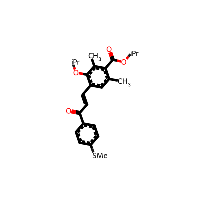 CSc1ccc(C(=O)C=Cc2cc(C)c(C(=O)OC(C)C)c(C)c2OC(C)C)cc1